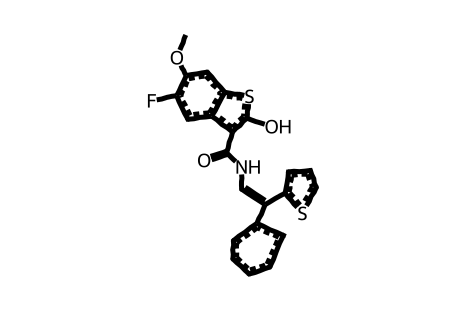 COc1cc2sc(O)c(C(=O)NC=C(c3ccccc3)c3cccs3)c2cc1F